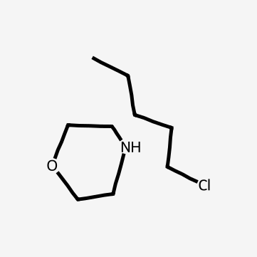 C1COCCN1.CCCCCCl